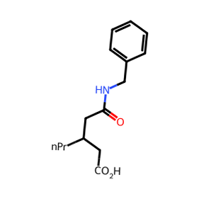 CCCC(CC(=O)O)CC(=O)NCc1ccccc1